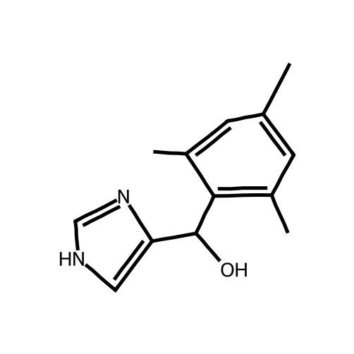 Cc1cc(C)c(C(O)c2c[nH]cn2)c(C)c1